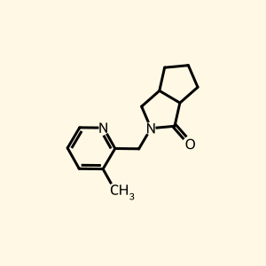 Cc1cccnc1CN1CC2CCCC2C1=O